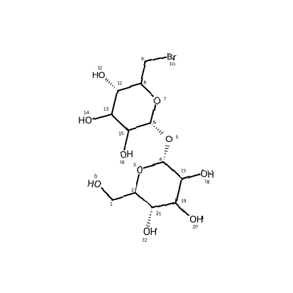 OCC1O[C@H](O[C@H]2OC(CBr)[C@@H](O)C(O)C2O)C(O)C(O)[C@@H]1O